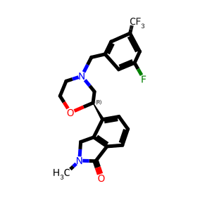 CN1Cc2c(cccc2[C@@H]2CN(Cc3cc(F)cc(C(F)(F)F)c3)CCO2)C1=O